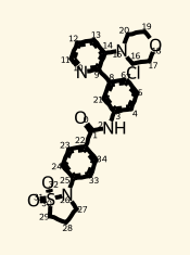 O=C(Nc1ccc(Cl)c(-c2ncccc2N2CCOCC2)c1)c1ccc(N2CCCS2(=O)=O)cc1